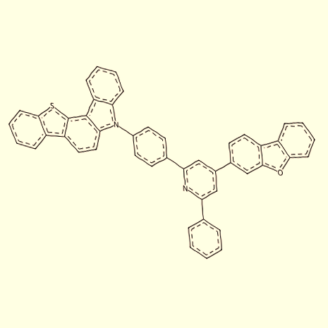 c1ccc(-c2cc(-c3ccc4c(c3)oc3ccccc34)cc(-c3ccc(-n4c5ccccc5c5c6sc7ccccc7c6ccc54)cc3)n2)cc1